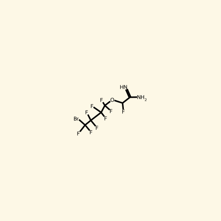 N=C(N)C(F)OC(F)(F)C(F)(F)C(F)(F)C(F)(F)Br